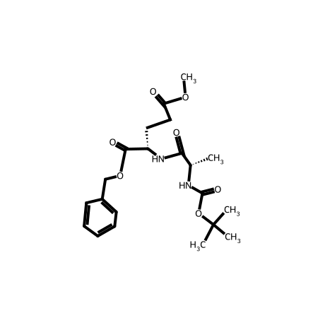 COC(=O)CC[C@H](NC(=O)[C@H](C)NC(=O)OC(C)(C)C)C(=O)OCc1ccccc1